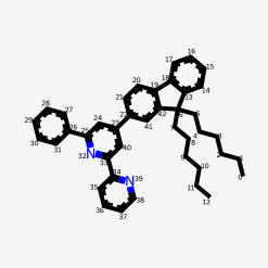 CCCCCCC1(CCCCCC)c2ccccc2-c2ccc(-c3cc(-c4ccccc4)nc(-c4ccccn4)c3)cc21